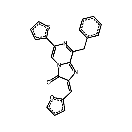 O=C1C(=Cc2ccco2)N=C2C(Cc3ccccc3)=NC(c3cccs3)=CN12